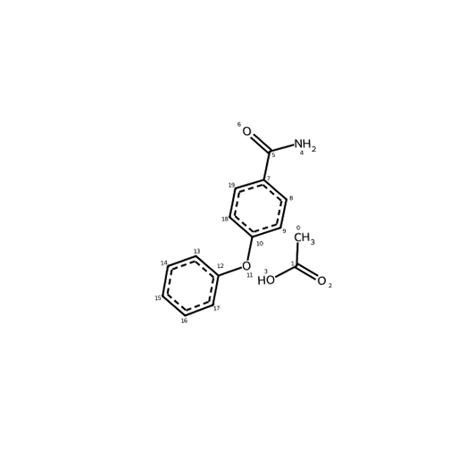 CC(=O)O.NC(=O)c1ccc(Oc2ccccc2)cc1